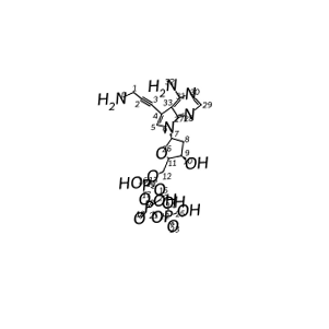 NCC#Cc1cn([C@H]2C[C@@H](O)C(COP(=O)(O)OP(=O)(O)OP(=O)(O)O)O2)c2ncnc(N)c12